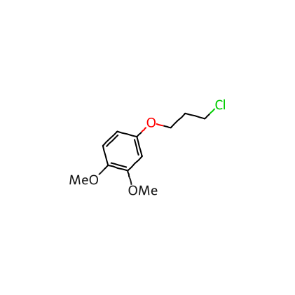 COc1ccc(OCCCCl)cc1OC